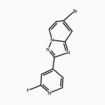 Fc1cc(-c2nc3cc(Br)ccn3n2)ccn1